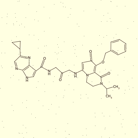 CC(C)N1CCn2c(NCC(=O)CNC(=O)c3c[nH]c4ncc(C5CC5)nc34)cc(=O)c(OCc3ccccc3)c2C1=O